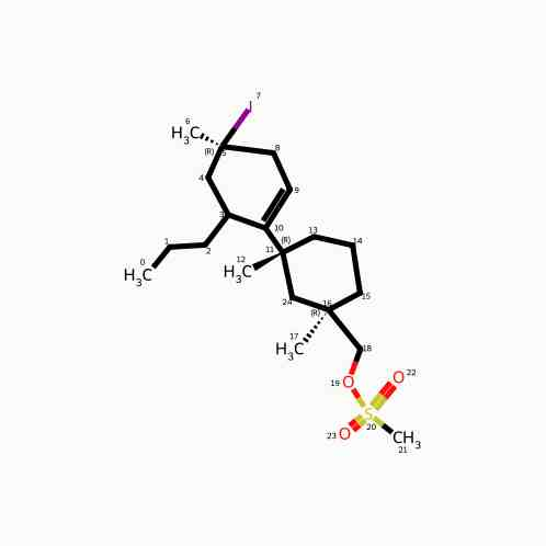 CCCC1C[C@@](C)(I)CC=C1[C@]1(C)CCC[C@@](C)(COS(C)(=O)=O)C1